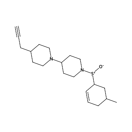 C#CCC1CCN(C2CCN([S+]([O-])C3C=CCC(C)C3)CC2)CC1